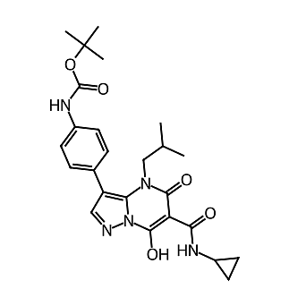 CC(C)Cn1c(=O)c(C(=O)NC2CC2)c(O)n2ncc(-c3ccc(NC(=O)OC(C)(C)C)cc3)c12